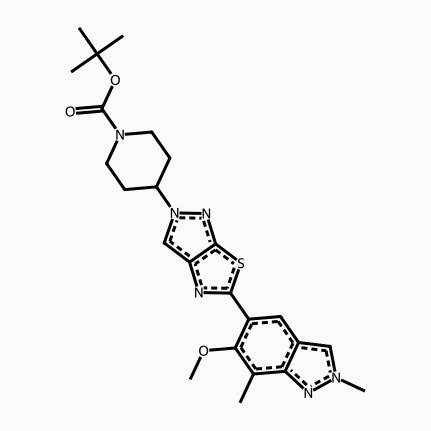 COc1c(-c2nc3cn(C4CCN(C(=O)OC(C)(C)C)CC4)nc3s2)cc2cn(C)nc2c1C